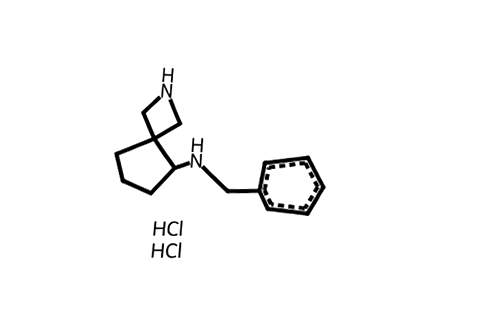 Cl.Cl.c1ccc(CNC2CCCC23CNC3)cc1